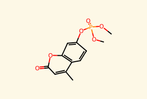 COP(=O)(OC)Oc1ccc2c(C)cc(=O)oc2c1